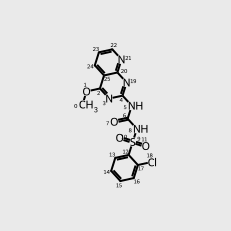 COc1nc(NC(=O)NS(=O)(=O)c2ccccc2Cl)nc2ncccc12